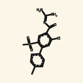 Cc1ccc(-c2cc(Cl)c(C(=O)N=C(N)N)cc2S(C)(=O)=O)cc1